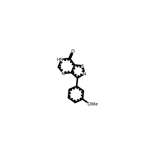 COc1cccc(-c2nsc3c(=O)[nH]cnc23)c1